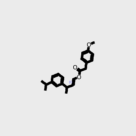 COc1ccc(CC(=O)O/C=C/C(C)c2cccc(C(C)C)c2)cc1